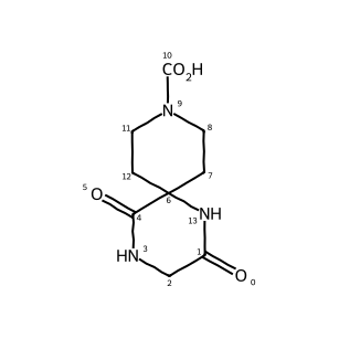 O=C1CNC(=O)C2(CCN(C(=O)O)CC2)N1